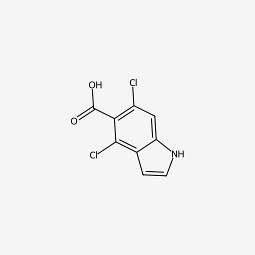 O=C(O)c1c(Cl)cc2[nH]ccc2c1Cl